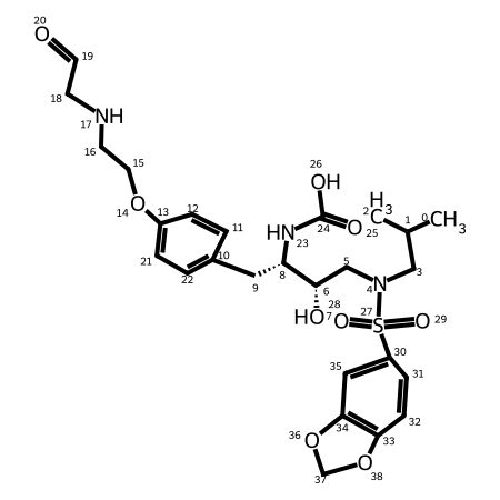 CC(C)CN(C[C@H](O)[C@H](Cc1ccc(OCCNCC=O)cc1)NC(=O)O)S(=O)(=O)c1ccc2c(c1)OCO2